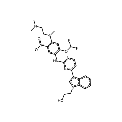 CN(C)CCN(C)c1cc(OC(F)F)c(Nc2nccc(-c3cn(CCO)c4ccccc34)n2)cc1[N+](=O)[O-]